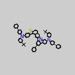 CC(C)(C)c1cccc(N(c2ccc(-c3ccccc3)cc2)c2ccc3c(c2)sc2ccc4cc5c(cc4c23)c2cc(-c3ccccc3)cc3c4ccc(N(c6ccc(-c7ccccc7)cc6)c6cccc(C(C)(C)C)c6)cc4n5c32)c1